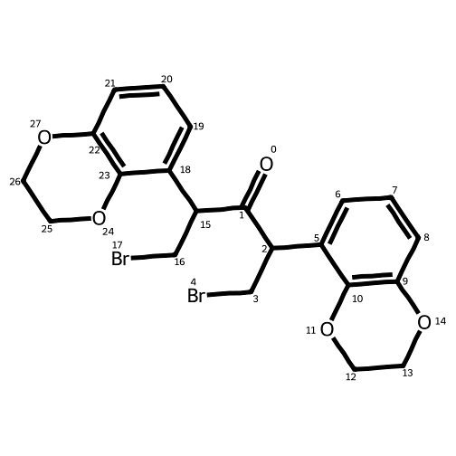 O=C(C(CBr)c1cccc2c1OCCO2)C(CBr)c1cccc2c1OCCO2